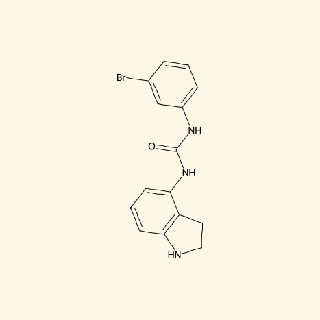 O=C(Nc1cccc(Br)c1)Nc1cccc2c1CCN2